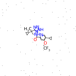 CC(CNC(=O)c1cc(OCC(F)(F)F)c(C2CC2)cn1)(c1nn[nH]n1)C1CC1